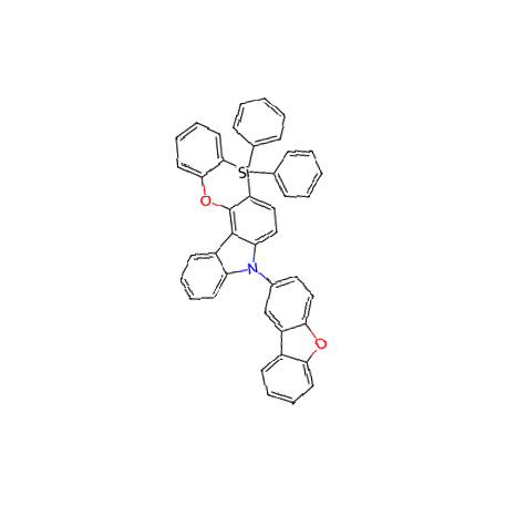 c1ccc([Si]2(c3ccccc3)c3ccccc3Oc3c2ccc2c3c3ccccc3n2-c2ccc3oc4ccccc4c3c2)cc1